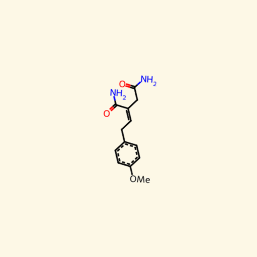 COc1ccc(CC=C(CC(N)=O)C(N)=O)cc1